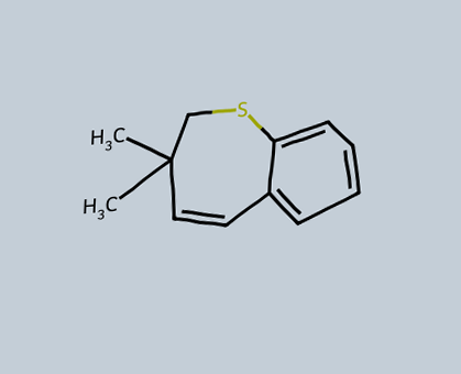 CC1(C)C=Cc2ccccc2SC1